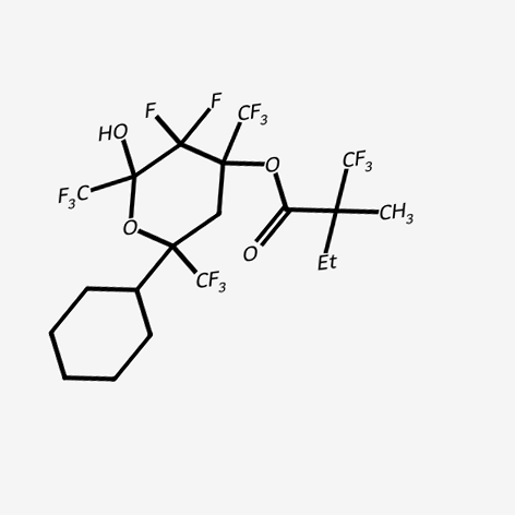 CCC(C)(C(=O)OC1(C(F)(F)F)CC(C2CCCCC2)(C(F)(F)F)OC(O)(C(F)(F)F)C1(F)F)C(F)(F)F